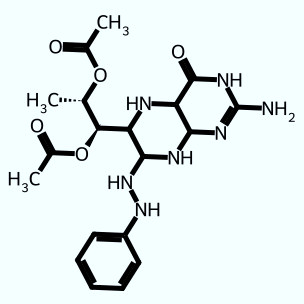 CC(=O)O[C@@H](C)[C@H](OC(C)=O)C1NC2C(=O)NC(N)=NC2NC1NNc1ccccc1